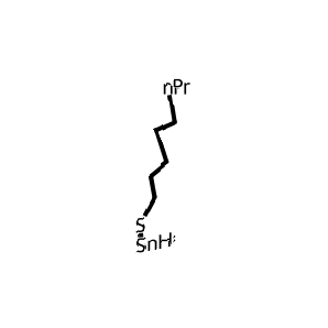 CCCCCCCC[S][SnH]